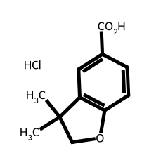 CC1(C)COc2ccc(C(=O)O)cc21.Cl